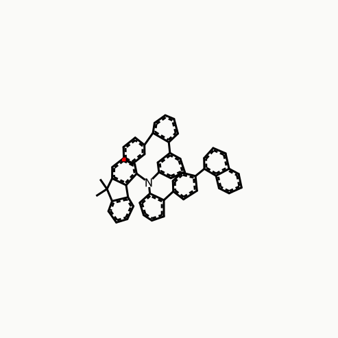 CC1(C)c2ccccc2-c2c(N(c3cccc(-c4ccccc4-c4ccccc4)c3)c3ccccc3-c3ccc(-c4cccc5ccccc45)cc3)cccc21